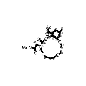 CNC(=O)[C@H](C)N1CCCCCCCCCCc2cc(C)cc3c(C(C)=O)nn(c23)CC1=O